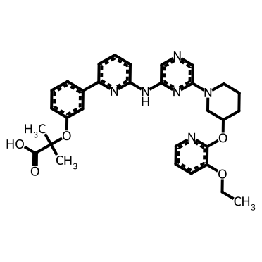 CCOc1cccnc1OC1CCCN(c2cncc(Nc3cccc(-c4cccc(OC(C)(C)C(=O)O)c4)n3)n2)C1